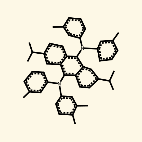 Cc1cccc(N(c2cccc(C)c2)c2c3ccc(C(C)C)cc3c(N(c3cccc(C)c3)c3ccc(C)c(C)c3)c3ccc(C(C)C)cc23)c1